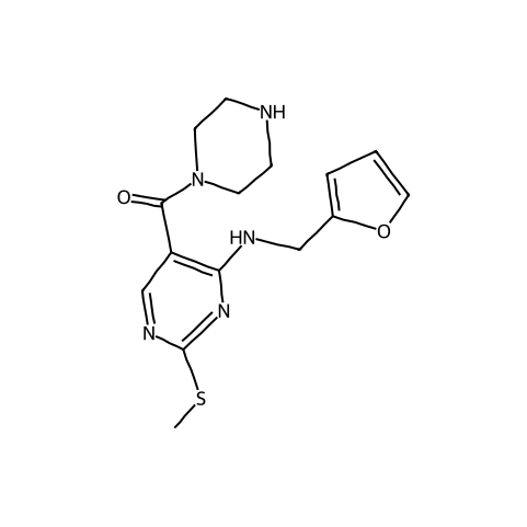 CSc1ncc(C(=O)N2CCNCC2)c(NCc2ccco2)n1